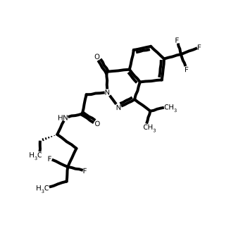 CC[C@@H](CC(F)(F)CC)NC(=O)Cn1nc(C(C)C)c2cc(C(F)(F)F)ccc2c1=O